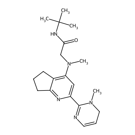 CN1CC=CN=C1c1cc(N(C)CC(=O)NC(C)(C)C)c2c(n1)CCC2